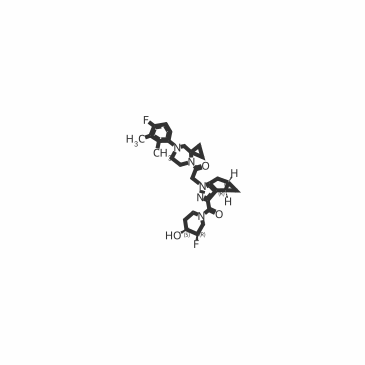 Cc1c(F)ccc(N2CCN(C(=O)Cn3nc(C(=O)N4CC[C@H](O)[C@H](F)C4)c4c3C[C@H]3C[C@@H]43)C3(CC3)C2)c1C